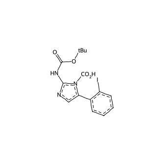 CC(C)(C)OC(=O)Nc1ncc(-c2ccccc2I)n1C(=O)O